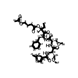 CC[C@@](C)(OC(=O)CCCOC(C)=O)C(=O)[C@H](Cc1ccccc1)NC(=O)[C@H](COC)NC(=O)[C@H](COC)NC(=O)c1cnc(C)s1